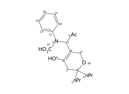 CCCC1(CCC)CC(O)=C(C(C(C)=O)N(C(=O)O)c2ccccc2)CO1